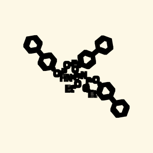 CCOP(N=P(NP(OCC)Oc1ccc(-c2ccccc2)cc1)(OCC)Oc1ccc(-c2ccccc2)cc1)Oc1ccc(-c2ccccc2)cc1